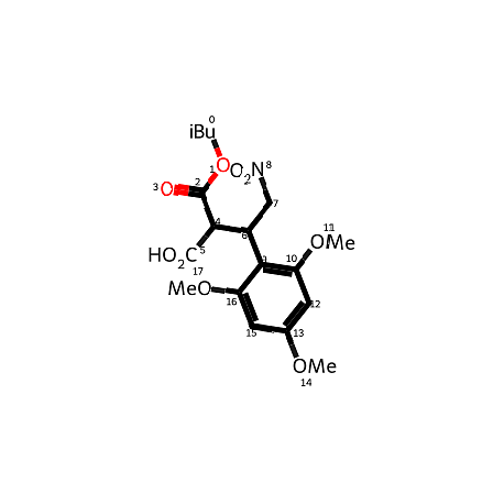 CCC(C)OC(=O)C(C(=O)O)C(C[N+](=O)[O-])c1c(OC)cc(OC)cc1OC